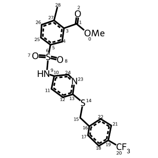 COC(=O)c1cc(S(=O)(=O)Nc2ccc(SCc3ccc(C(F)(F)F)cc3)nc2)ccc1C